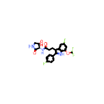 O=C(CCc1c(-c2ccc(F)cc2)[nH]c2c(OC(F)F)cc(F)cc12)N[C@@H]1C(=O)NC[C@H]1O